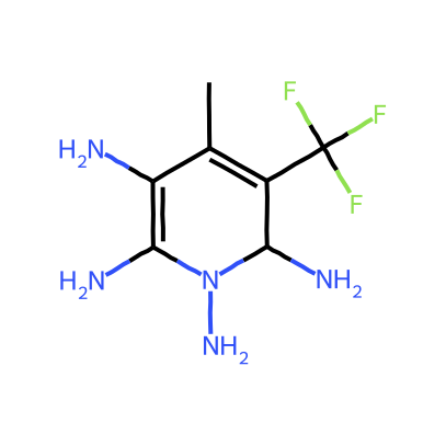 CC1=C(C(F)(F)F)C(N)N(N)C(N)=C1N